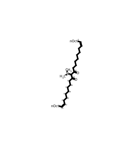 CCCCCCCC/C=C\CCCCCCCC(=O)C(C(=O)CCCCCCC/C=C\CCCCCCCC)N(C)C